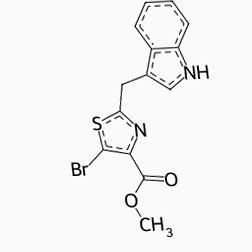 COC(=O)c1nc(Cc2c[nH]c3ccccc23)sc1Br